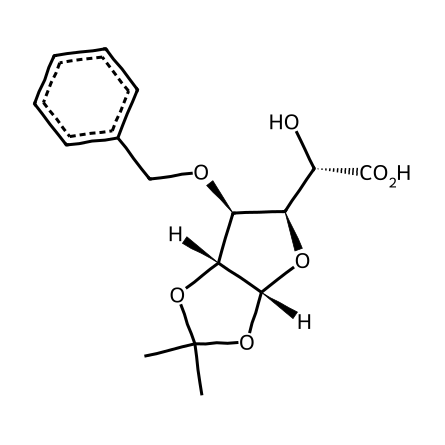 CC1(C)O[C@H]2O[C@H]([C@H](O)C(=O)O)[C@H](OCc3ccccc3)[C@H]2O1